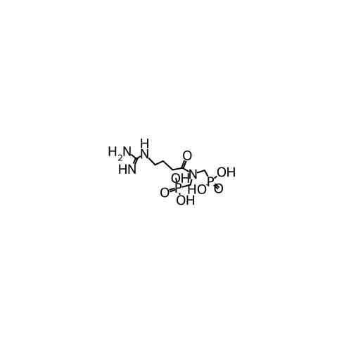 N=C(N)NCCCC(=O)N(CP(=O)(O)O)CP(=O)(O)O